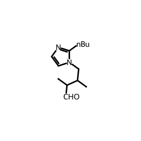 CCCCc1nccn1CC(C)C(C)C=O